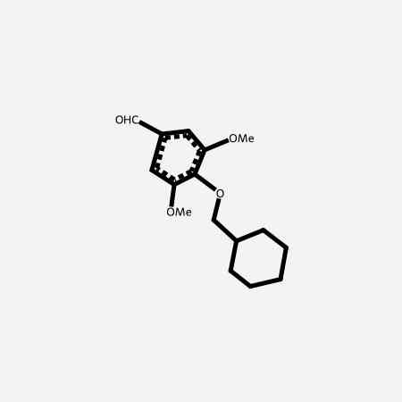 COc1cc(C=O)cc(OC)c1OCC1CCCCC1